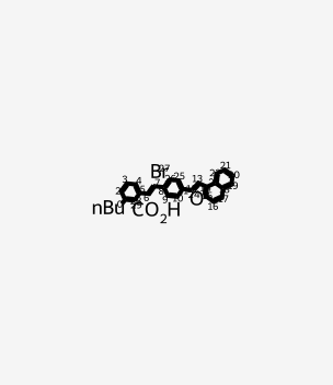 CCCCc1cccc(/C=C/c2ccc(-c3cc4c(ccc5ccccc54)o3)cc2Br)c1C(=O)O